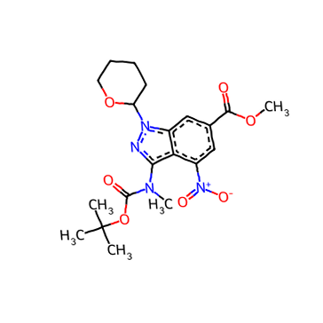 COC(=O)c1cc([N+](=O)[O-])c2c(N(C)C(=O)OC(C)(C)C)nn(C3CCCCO3)c2c1